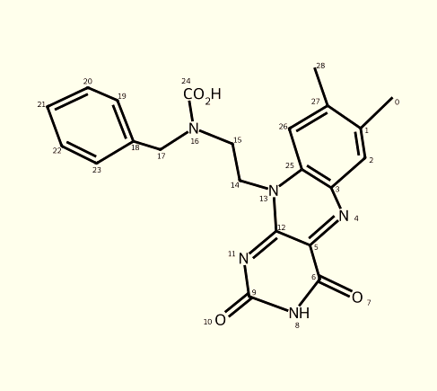 Cc1cc2nc3c(=O)[nH]c(=O)nc-3n(CCN(Cc3ccccc3)C(=O)O)c2cc1C